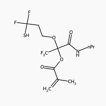 C=C(C)C(=O)OC(OCCC(F)(F)S)(C(=O)NCCC)C(F)(F)F